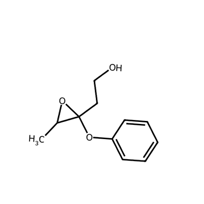 CC1OC1(CCO)Oc1ccccc1